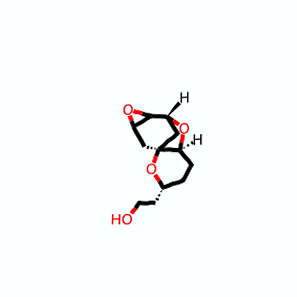 OCC[C@H]1CC[C@@H]2O[C@@H]3C[C@]2(CC2OC23)O1